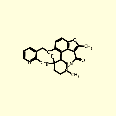 Cc1oc2ccc(OCc3cccnc3C(F)(F)F)c(C3CN(C)CCC3(F)F)c2c1C(N)=O